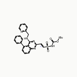 CC(C)(C)OC(=O)NS(=O)(=O)/C=C/c1nc(NCc2ccccn2)c2c(-c3ccccc3)cccc2n1